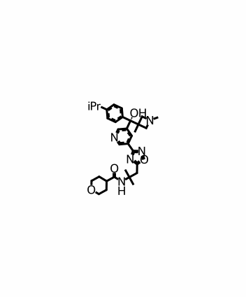 CC(C)c1ccc([C@](O)(c2cncc(-c3noc(CC(C)(C)NC(=O)C4CCOCC4)n3)c2)C2(C)CN(C)C2)cc1